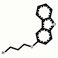 BrCCCOc1ccc2oc3ccccc3c2c1